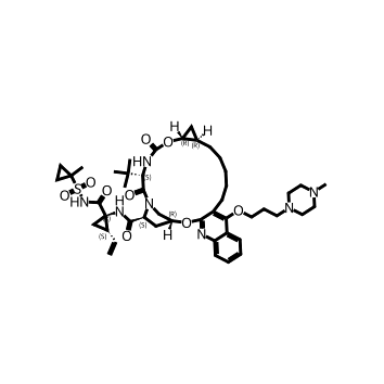 C=C[C@@H]1C[C@]1(NC(=O)[C@@H]1C[C@@H]2CN1C(=O)[C@H](C(C)(C)C)NC(=O)O[C@@H]1C[C@H]1CCCCCc1c(nc3ccccc3c1OCCCN1CCN(C)CC1)O2)C(=O)NS(=O)(=O)C1(C)CC1